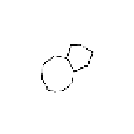 C1CCCC2CCCCC2CC1